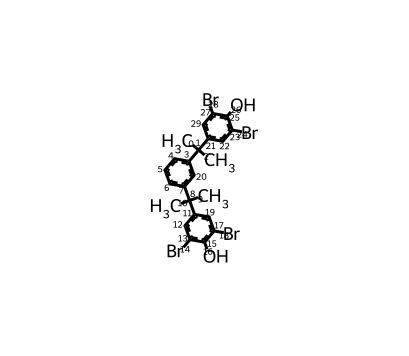 CC(C)(c1cccc(C(C)(C)c2cc(Br)c(O)c(Br)c2)c1)c1cc(Br)c(O)c(Br)c1